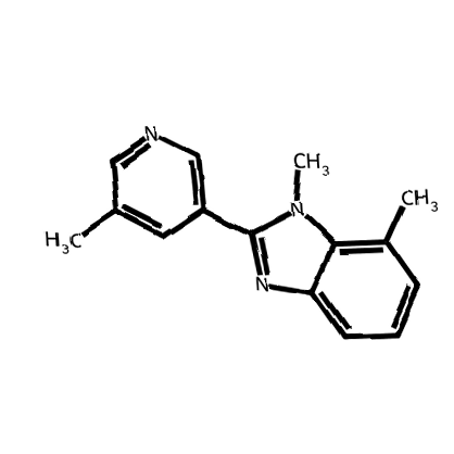 Cc1cncc(-c2nc3cccc(C)c3n2C)c1